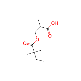 CCC(C)(C)C(=O)OCC(C)C(=O)O